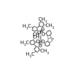 Cc1cc(C)c2op(Oc3cccc4c3C3c5c(Op6oc7c(C)cc(C)cc7c7cc(C)cc(C)c7o6)cccc5C35CC45)oc3c(C)cc(C)cc3c2c1